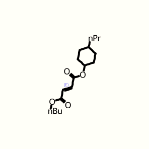 CCCCOC(=O)/C=C/C(=O)OC1CCC(CCC)CC1